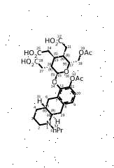 CCCN1CCC[C@@H]2Cc3c(ccc(OC(C)=O)c3O[C@@H]3O[C@@H](COC(C)=O)[C@H](CC(=O)O)[C@H](CC(=O)O)[C@H]3CC(=O)O)C[C@H]21